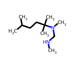 CNCN(C)C(C)(C)CCC(C)C